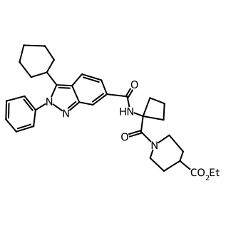 CCOC(=O)C1CCN(C(=O)C2(NC(=O)c3ccc4c(C5CCCCC5)n(-c5ccccc5)nc4c3)CCC2)CC1